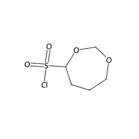 O=S(=O)(Cl)C1CCCOCO1